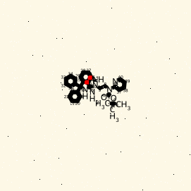 CC(C)(C)OC(=O)N(CCN1NC=CC1(N)NC(c1ccccc1)(c1ccccc1)c1ccccc1)c1ccccn1